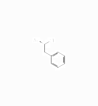 [CH2]C(=O)[C@@H](Cl)Cc1ccccc1